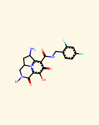 CCN1CC2CC(N)c3c(C(=O)NCc4ccc(F)cc4F)c(=O)c(O)c(n32)C1=O